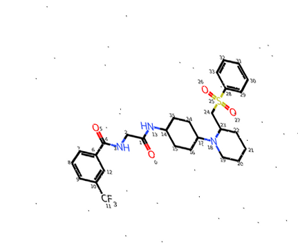 O=C(CNC(=O)c1cccc(C(F)(F)F)c1)NC1CCC(N2CCCCC2CS(=O)(=O)c2ccccc2)CC1